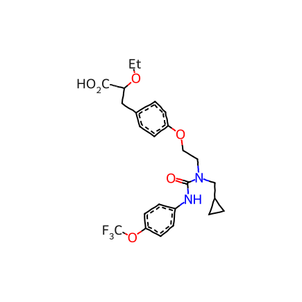 CCOC(Cc1ccc(OCCN(CC2CC2)C(=O)Nc2ccc(OC(F)(F)F)cc2)cc1)C(=O)O